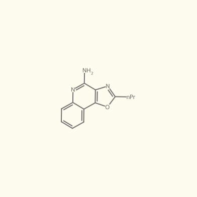 CCCc1nc2c(N)nc3ccccc3c2o1